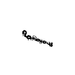 Cc1cccc(CCN2CCN(C(=O)Oc3ccc(NC(=O)c4ccc(CN5CCCCC5)cc4)cc3)CC2)n1